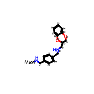 CSNCc1ccc(CNCC2COc3ccccc3O2)cc1